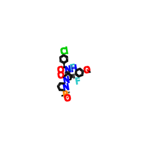 COc1cc(F)c([C@@H]2CN(c3cccc(P(C)(C)=O)n3)C(=O)[C@H]2NC(=O)c2ccc(Cl)cc2)c(F)c1